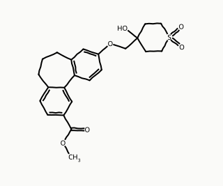 COC(=O)c1ccc2c(c1)-c1ccc(OCC3(O)CCS(=O)(=O)CC3)cc1CCC2